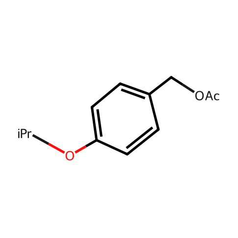 CC(=O)OCc1ccc(OC(C)C)cc1